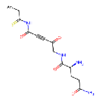 CC(=O)CC(=S)NC(=O)C#CC(=O)CNC(=O)[C@@H](N)CCC(N)=O